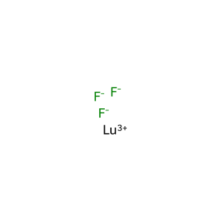 [F-].[F-].[F-].[Lu+3]